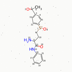 CC(=O)c1ccc([S+]([O-])CCC(N)C(=O)Nc2ccccc2)cc1